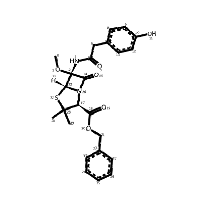 CO[C@]1(NC(=O)Cc2ccc(O)cc2)C(=O)N2[C@@H](C(=O)OCc3ccccc3)C(C)(C)S[C@@H]21